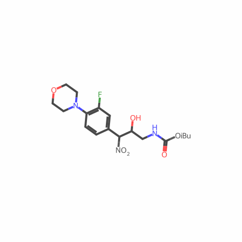 CC(C)COC(=O)NCC(O)C(c1ccc(N2CCOCC2)c(F)c1)[N+](=O)[O-]